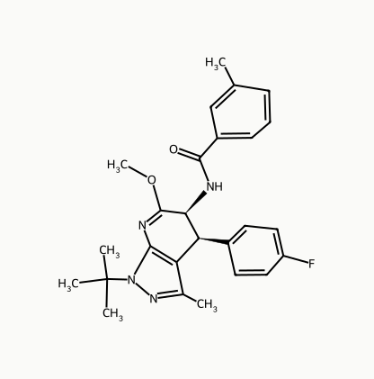 COC1=Nc2c(c(C)nn2C(C)(C)C)[C@H](c2ccc(F)cc2)[C@@H]1NC(=O)c1cccc(C)c1